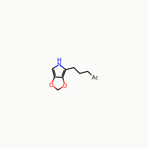 CC(=O)CCCc1[nH]cc2c1OCO2